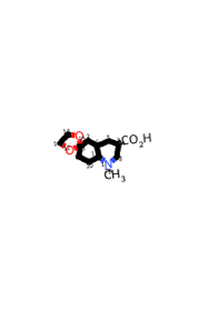 CN1CC(C(=O)O)CC2CC3(CCC21)OCCO3